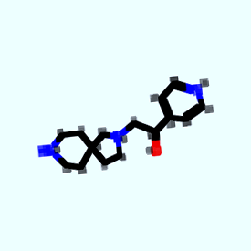 O=C(CN1CCC2(CCNCC2)C1)c1ccncc1